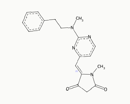 CN1C(=O)CC(=O)/C1=C/c1ccnc(N(C)CCc2ccccc2)n1